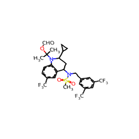 CC(C)(OC=O)N1c2ccc(C(F)(F)F)cc2C(N(Cc2cc(C(F)(F)F)cc(C(F)(F)F)c2)S(C)(=O)=O)CC1C1CC1